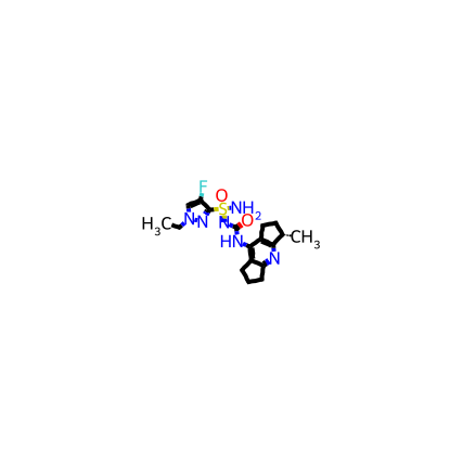 CCn1cc(F)c(S(N)(=O)=NC(=O)Nc2c3c(nc4c2CC[C@@H]4C)CCC3)n1